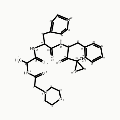 CC(NC(=O)CN1CCOCC1)C(=O)NC(Cc1ccncc1)C(=O)NC(Cc1ccccc1)C(=O)C1(C)CO1